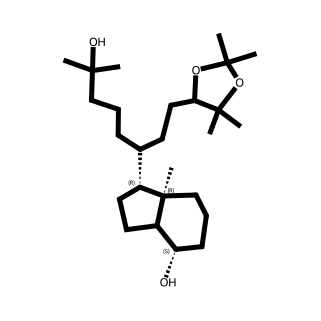 CC(C)(O)CCCC(CCC1OC(C)(C)OC1(C)C)[C@H]1CCC2[C@@H](O)CCC[C@@]21C